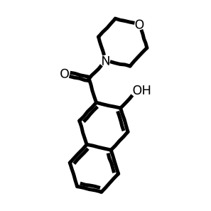 O=C(c1cc2ccccc2cc1O)N1CCOCC1